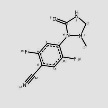 CN1CNC(=O)N1c1cc(F)c(C#N)cc1F